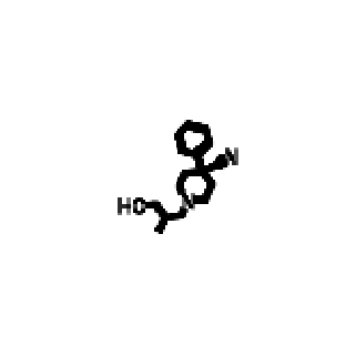 CC(CO)CN1CCC(C#N)(c2ccccc2)CC1